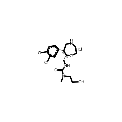 CN(CCO)C(=O)NC[C@H]1OCCNC[C@H]1c1ccc(Cl)c(Cl)c1.Cl